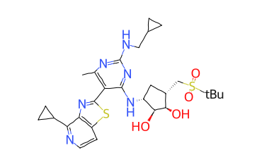 Cc1nc(NCC2CC2)nc(N[C@@H]2C[C@H](CS(=O)(=O)C(C)(C)C)[C@@H](O)[C@H]2O)c1-c1nc2c(C3CC3)nccc2s1